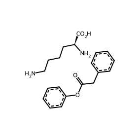 NCCCC[C@H](N)C(=O)O.O=C(Cc1ccccc1)Oc1ccccc1